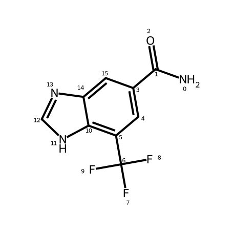 NC(=O)c1cc(C(F)(F)F)c2[nH]cnc2c1